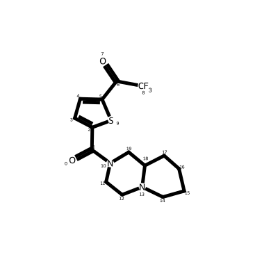 O=C(c1ccc(C(=O)C(F)(F)F)s1)N1CCN2CCCCC2C1